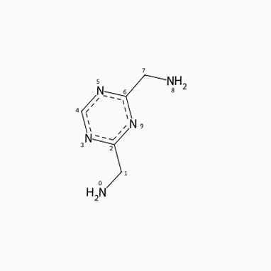 NCc1ncnc(CN)n1